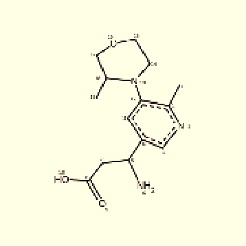 Cc1ncc(C(N)CC(=O)O)cc1N1CCOCC1C